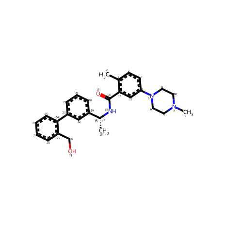 Cc1ccc(N2CCN(C)CC2)cc1C(=O)N[C@H](C)c1cccc(-c2ccccc2CO)c1